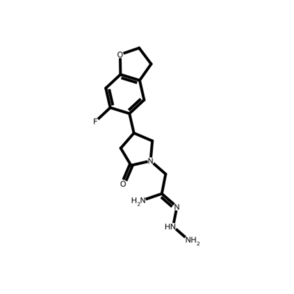 NN/N=C(\N)CN1CC(c2cc3c(cc2F)OCC3)CC1=O